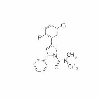 CN(C)C(=O)N1CC(c2cc(Cl)ccc2F)=C[C@H]1c1ccccc1